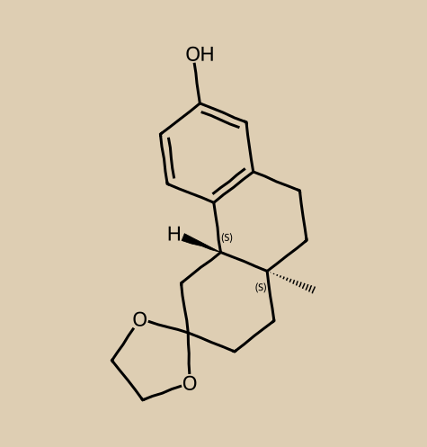 C[C@@]12CCc3cc(O)ccc3[C@H]1CC1(CC2)OCCO1